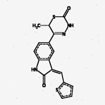 CC1SC(=O)NN=C1c1ccc2c(c1)C(=Cc1cccs1)C(=O)N2